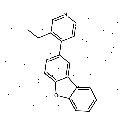 CCc1cnccc1-c1ccc2oc3ccccc3c2c1